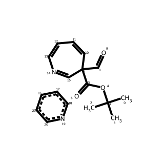 CC(C)(C)OC(=O)C1(C=O)C=CC=CN=C1.c1ccncc1